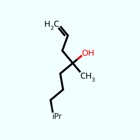 C=CCC(C)(O)CCCC(C)C